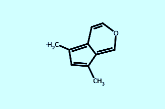 [CH2]c1cc(C)c2coccc1-2